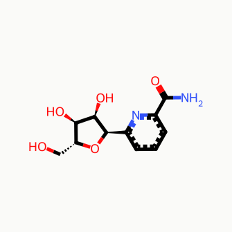 NC(=O)c1cccc([C@H]2O[C@H](CO)[C@@H](O)[C@H]2O)n1